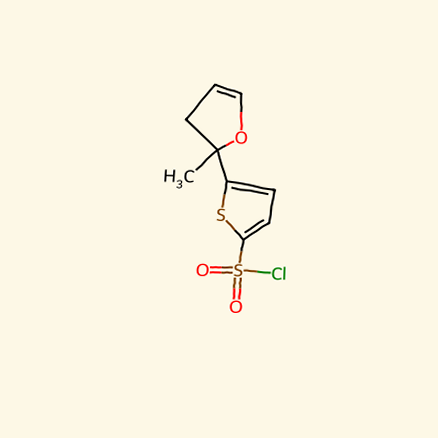 CC1(c2ccc(S(=O)(=O)Cl)s2)CC=CO1